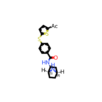 CC(=O)c1ccc(Sc2ccc(C(=O)N[C@@H]3C[C@H]4CC[C@@H]3N4)cc2)s1